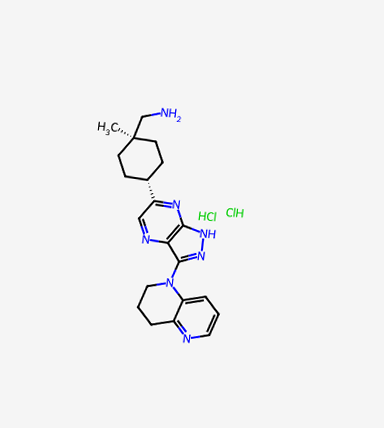 C[C@]1(CN)CC[C@H](c2cnc3c(N4CCCc5ncccc54)n[nH]c3n2)CC1.Cl.Cl